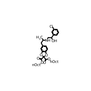 CCCCCCCCOC(=O)C1(C(=O)OCCCCCCCC)Oc2ccc(CC(C)NCC(O)c3cccc(Cl)c3)cc2O1